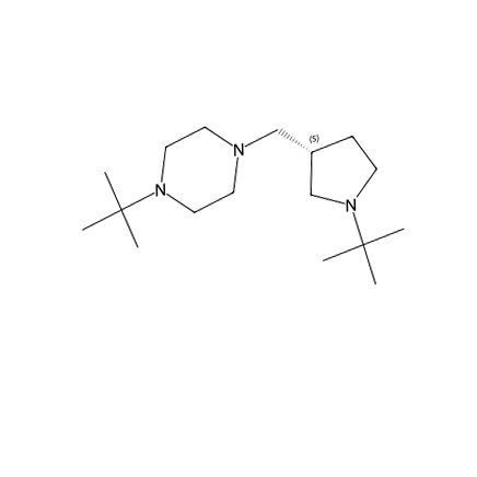 CC(C)(C)N1CCN(C[C@@H]2CCN(C(C)(C)C)C2)CC1